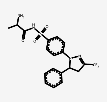 CC(N)C(=O)NS(=O)(=O)c1ccc(N2N=C(C(F)(F)F)CC2c2ccccc2)cc1